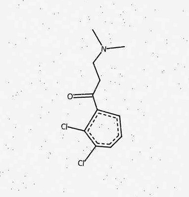 CN(C)CCC(=O)c1cccc(Cl)c1Cl